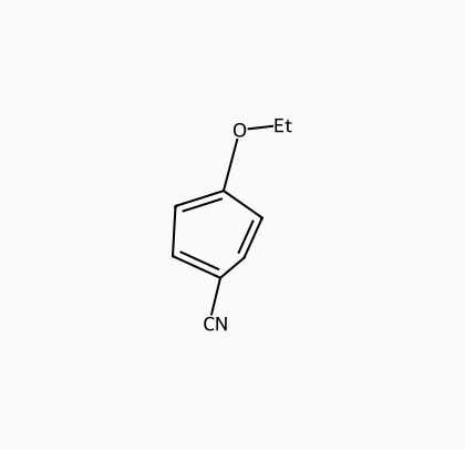 [CH2]COc1ccc(C#N)cc1